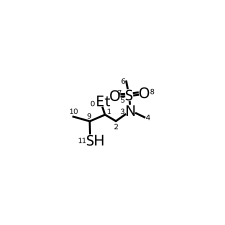 CCC(CN(C)S(C)(=O)=O)C(C)S